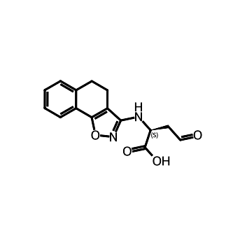 O=CC[C@H](Nc1noc2c1CCc1ccccc1-2)C(=O)O